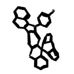 Fc1ccc(-n2c3cc4c(cc3c3ccc5ccccc5c32)Sc2ccccc2C42c3ccccc3-c3ccccc32)cc1